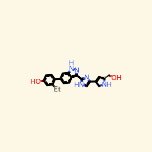 CCc1cc(O)ccc1-c1ccc2c(-c3nc(C4=C[C@@H](CO)NC4)c[nH]3)n[nH]c2c1